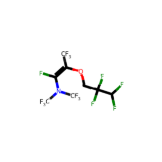 FC(=C(OCC(F)(F)C(F)F)C(F)(F)F)N(C(F)(F)F)C(F)(F)F